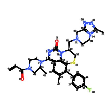 C=CC(=O)N1CCN(c2nc(=O)n3c4c(c(-c5ccc(F)cc5)c(C)cc24)SC[C@@H]3CN2CCn3c(C)nnc3C2)[C@@H](C)C1